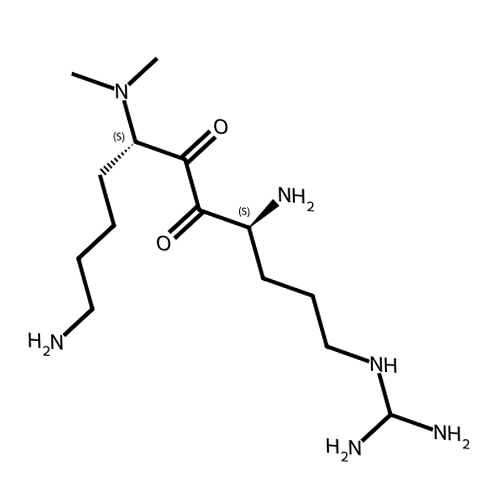 CN(C)[C@@H](CCCCN)C(=O)C(=O)[C@@H](N)CCCNC(N)N